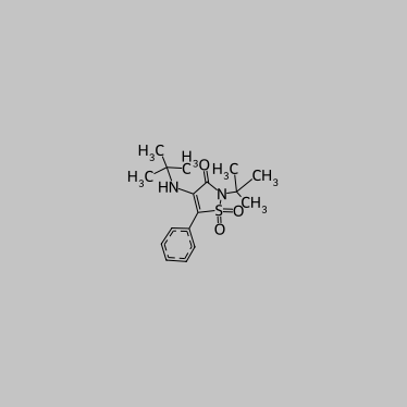 CC(C)(C)NC1=C(c2ccccc2)S(=O)(=O)N(C(C)(C)C)C1=O